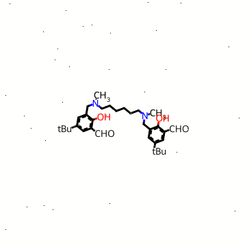 CN(CCCCCCN(C)Cc1cc(C(C)(C)C)cc(C=O)c1O)Cc1cc(C(C)(C)C)cc(C=O)c1O